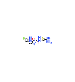 N=C(N)c1csc(CNC(=O)Cn2cnc3c(c2=O)NC(c2ccc(F)cc2)CC3)c1